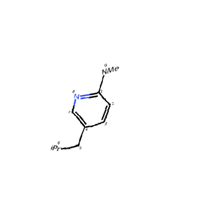 CNc1ccc(CC(C)C)cn1